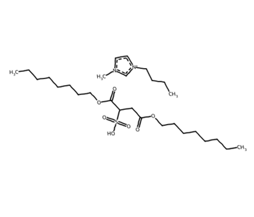 CCCCCCCCOC(=O)CC(C(=O)OCCCCCCCC)S(=O)(=O)O.CCCC[n+]1ccn(C)c1